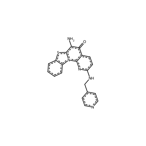 Nc1c(=O)c2ccc(NCc3ccncc3)nc2n2c1sc1ccccc12